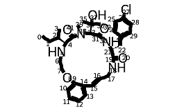 CCC(C)[C@@H]1NCCOc2ccccc2/C=C/CNC(=O)[C@@H](Cc2ccc(Cl)cc2)NC(=O)[C@H](C(C)(C)O)N(C)C1=O